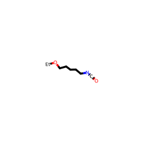 CCOCCCCCN=C=O